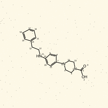 O=C(O)N1CCN(c2ccc(NCCc3ccccc3)cc2)CC1